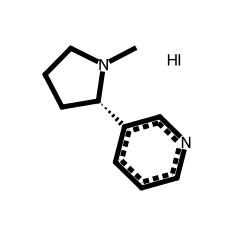 CN1CCC[C@H]1c1cccnc1.I